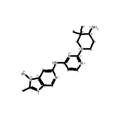 Cc1nc2cnc(Nc3ccnc(N4CCC(N)C(C)(C)C4)n3)cc2n1C(C)C